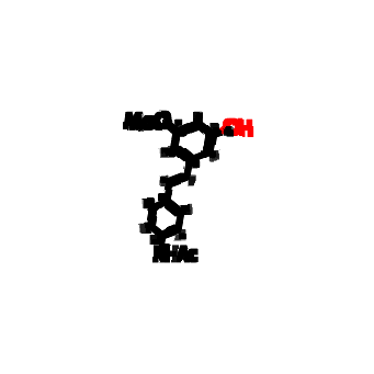 COc1cc(O)cc(C=Cc2ccc(NC(C)=O)cc2)c1